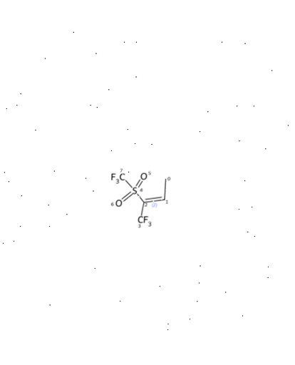 C/C=C(/C(F)(F)F)S(=O)(=O)C(F)(F)F